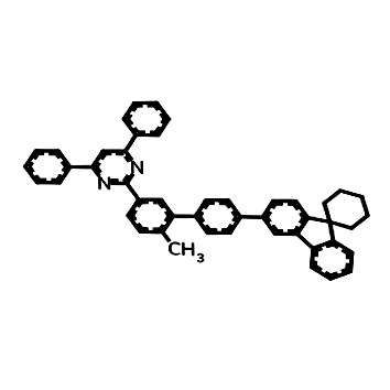 Cc1ccc(-c2nc(-c3ccccc3)cc(-c3ccccc3)n2)cc1-c1ccc(-c2ccc3c(c2)-c2ccccc2C32CCCCC2)cc1